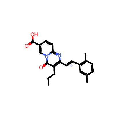 CCCc1c(/C=C/c2cc(C)ccc2C)nc2ccc(C(=O)O)cn2c1=O